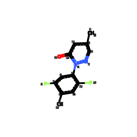 Cc1cnn(-c2cc(F)c(C#N)cc2F)c(=O)c1